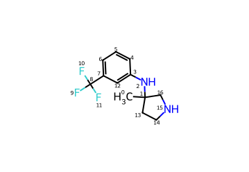 CC1(Nc2cccc(C(F)(F)F)c2)CCNC1